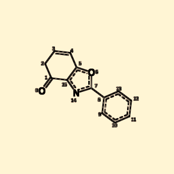 O=C1CC=Cc2oc(-c3ccccc3)nc21